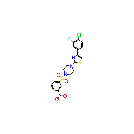 O=[N+]([O-])c1cccc(S(=O)(=O)N2CCN(c3nc(-c4ccc(Cl)c(F)c4)cs3)CC2)c1